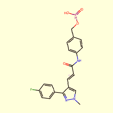 Cn1cc(/C=C/C(=O)Nc2ccc(CO[PH](=O)O)cc2)c(-c2ccc(F)cc2)n1